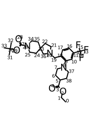 CCOC(=O)C1CCN(c2cc(C(F)(F)F)ccc2CN2CCC3(CCN(C(=O)OC(C)(C)C)CC3)C2)CC1